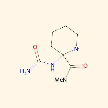 CNC(=O)C1(NC(N)=O)CCCC[N]1